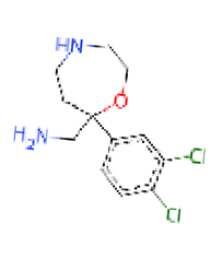 NCC1(c2ccc(Cl)c(Cl)c2)CCNCCO1